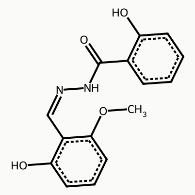 COc1cccc(O)c1/C=N\NC(=O)c1ccccc1O